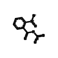 O=C(O[SH](=O)=O)c1ccccc1[N+](=O)[O-]